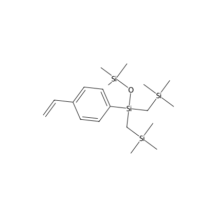 C=Cc1ccc([Si](C[Si](C)(C)C)(C[Si](C)(C)C)O[Si](C)(C)C)cc1